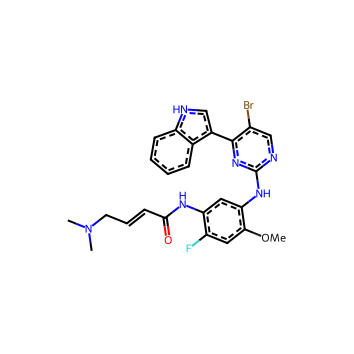 COc1cc(F)c(NC(=O)/C=C/CN(C)C)cc1Nc1ncc(Br)c(-c2c[nH]c3ccccc23)n1